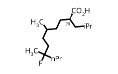 CCCC(C)(F)CCC(C)CC[C@H](CC(C)C)C(=O)O